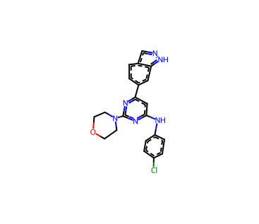 Clc1ccc(Nc2cc(-c3ccc4cn[nH]c4c3)nc(N3CCOCC3)n2)cc1